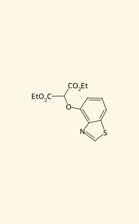 CCOC(=O)C(Oc1cccc2scnc12)C(=O)OCC